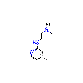 CCN(C)CCNc1cc(C)ccn1